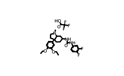 CCOc1ccc(C23CCC(NC(=O)Nc4ccc(F)c(F)c4)CC2N(C)CC3)cc1OCC.O=C(O)C(F)(F)F